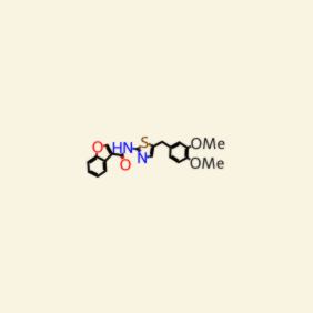 COc1ccc(Cc2cnc(NC(=O)c3coc4ccccc34)s2)cc1OC